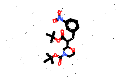 CC(C)(C)OC(=O)C(Cc1cccc([N+](=O)[O-])c1)C1CN(C(=O)OC(C)(C)C)CCO1